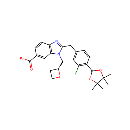 CC1(C)OB(c2ccc(Cc3nc4ccc(C(=O)O)cc4n3C[C@@H]3CCO3)cc2F)OC1(C)C